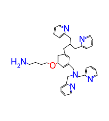 NCCCCOc1cc(CC(Cc2ccccn2)Cc2ccccn2)cc(CN(Cc2ccccn2)Cc2ccccn2)c1